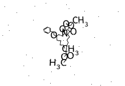 CCCCCC(CCN1C(=O)C(C(=O)OCC)C(=O)C1CCCCCCC(=O)OCC)OCc1ccccc1